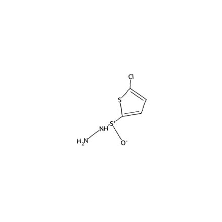 NN[S+]([O-])c1ccc(Cl)s1